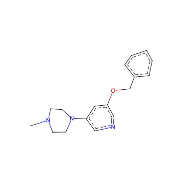 CN1CCN(c2cncc(OCc3ccccc3)c2)CC1